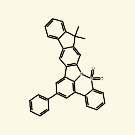 CC1(C)c2ccccc2-c2cc3c4cc(-c5ccccc5)cc5c4n(c3cc21)S(=O)(=O)c1ccccc1-5